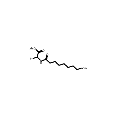 CCCCCCCCCCCCCCCCCC(=O)NC(C(=O)OC)C(C)C